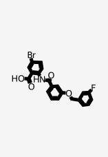 O=C(Nc1ccc(Br)cc1C(=O)O)c1cccc(OCc2cccc(F)c2)c1